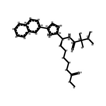 CCC(=O)CCCCC[C@H](NC(=O)C(C)(C)N(C)C)c1ncc(-c2ccc3ccccc3c2)[nH]1